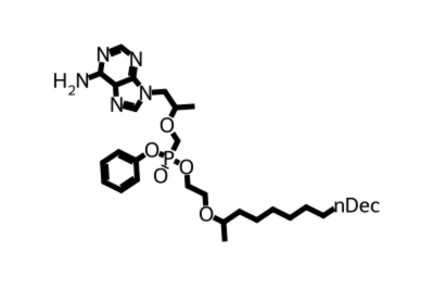 CCCCCCCCCCCCCCCCC(C)OCCOP(=O)(COC(C)CN1C=NC2C1=NC=NC2N)Oc1ccccc1